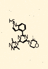 Cc1nnc(C)n1-c1cc(N2CCOC[C@H]2C)nc(-c2cccc3c2ccn3SI)n1